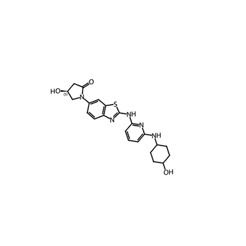 O=C1C[C@H](O)CN1c1ccc2nc(Nc3cccc(NC4CCC(O)CC4)n3)sc2c1